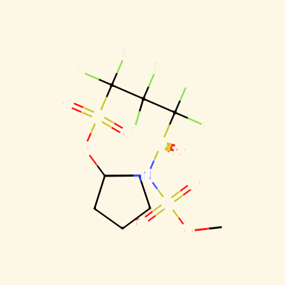 COS(=O)(=O)NS(=O)(=O)C(F)(F)C(F)(F)C(F)(F)S(=O)(=O)OC1CCCC1